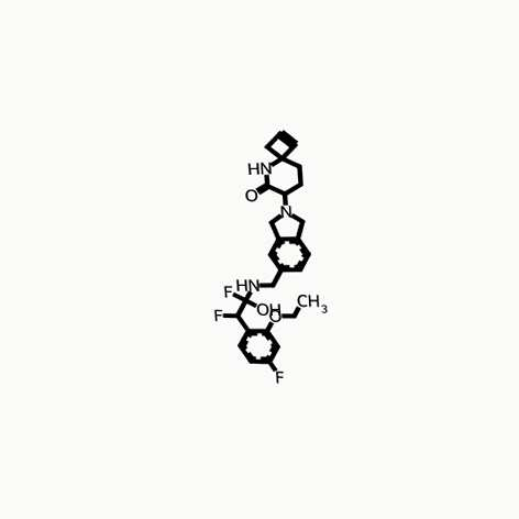 CCOc1cc(F)ccc1C(F)C(O)(F)NCc1ccc2c(c1)CN(C1CCC3(C#CC3)NC1=O)C2